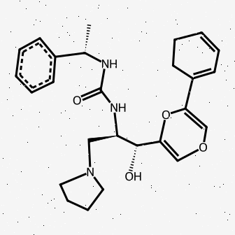 C[C@H](NC(=O)N[C@H](CN1CCCC1)[C@@H](O)C1=COC=C(C2=CC=CCC2)O1)c1ccccc1